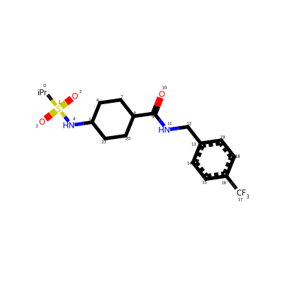 CC(C)S(=O)(=O)NC1CCC(C(=O)NCc2ccc(C(F)(F)F)cc2)CC1